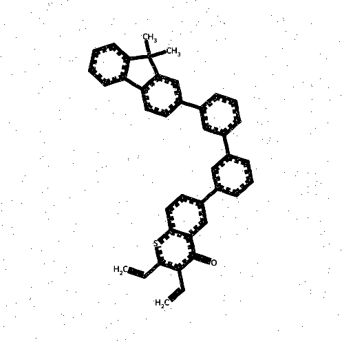 C=Cc1sc2ccc(-c3cccc(-c4cccc(-c5ccc6c(c5)C(C)(C)c5ccccc5-6)c4)c3)cc2c(=O)c1C=C